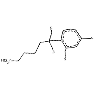 O=C(O)CCCCC(F)(F)c1ccc(F)cc1F